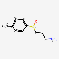 NCCC[S+]([O-])c1ccc([N+](=O)[O-])cc1